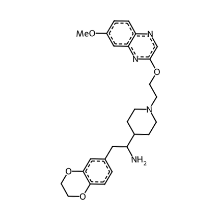 COc1ccc2ncc(OCCN3CCC(C(N)Cc4ccc5c(c4)OCCO5)CC3)nc2c1